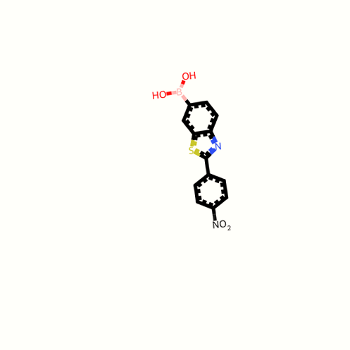 O=[N+]([O-])c1ccc(-c2nc3ccc(B(O)O)cc3s2)cc1